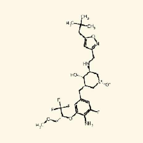 COC[C@@H](Oc1cc(C[C@@H]2C[S@@+]([O-])C[C@H](NCc3cc(CC(C)(C)C)on3)[C@H]2O)cc(F)c1N)C(F)(F)F